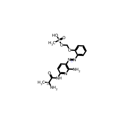 C[C@H](N)C(=O)Nc1ccc(/N=N/c2ccccc2OCOP(C)(=O)O)c(N)n1